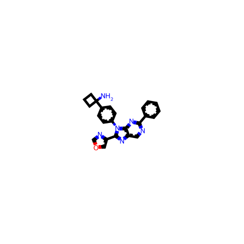 NC1(c2ccc(-n3c(-c4cocn4)nc4cnc(-c5ccccc5)nc43)cc2)CCC1